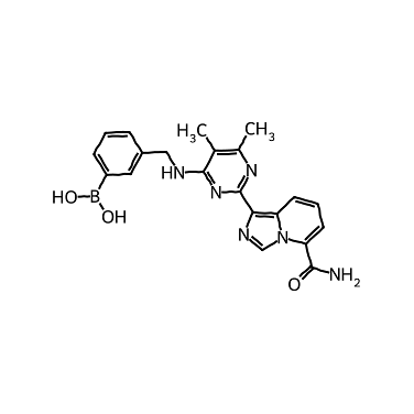 Cc1nc(-c2ncn3c(C(N)=O)cccc23)nc(NCc2cccc(B(O)O)c2)c1C